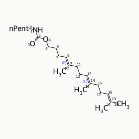 CCCCCNC(=O)OCCC/C=C(\C)CC/C=C(\C)CCC=C(C)C